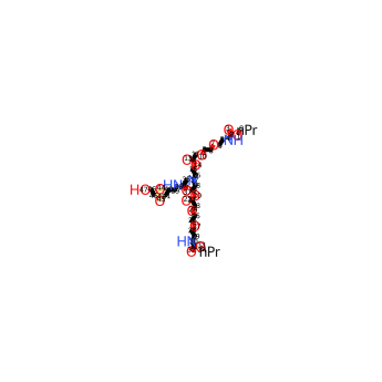 CCCOC(=O)NCCOCCOCC(=O)OCCN(CCOC(=O)COCCOCCNC(=O)OCCC)CC(=O)NCCCS(=O)(=O)CCO